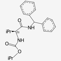 CC(C)OC(=O)N[C@H](C(=O)NC(c1ccccc1)c1ccccc1)C(C)C